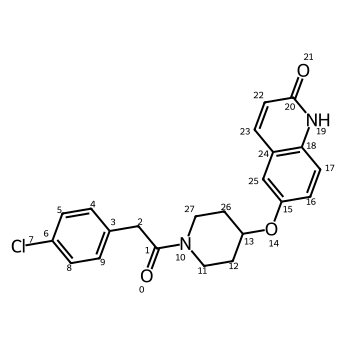 O=C(Cc1ccc(Cl)cc1)N1CCC(Oc2ccc3[nH]c(=O)ccc3c2)CC1